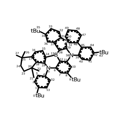 CC(C)(C)c1ccc(N2c3cc(C(C)(C)C)cc4c3B(c3ccc5c(c32)C(C)(C)CCC5(C)C)c2c(sc3ccc(C(C)(C)C)cc23)N4c2ccc(C(C)(C)C)cc2-c2ccccc2)cc1